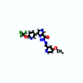 COc1ccnc(/C=N/NC(=O)c2cncc(-c3ccc(OC(F)(F)F)nc3)n2)c1